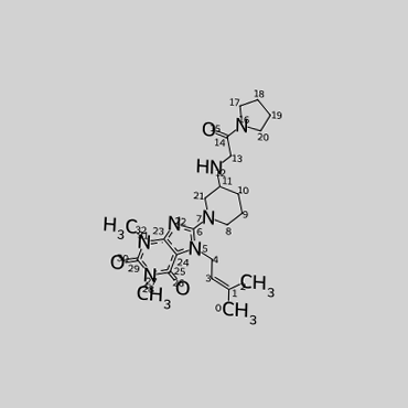 CC(C)=CCn1c(N2CCCC(NCC(=O)N3CCCC3)C2)nc2c1c(=O)n(C)c(=O)n2C